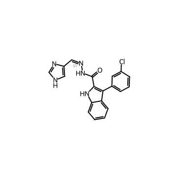 O=C(N/N=C\c1c[nH]cn1)c1[nH]c2ccccc2c1-c1cccc(Cl)c1